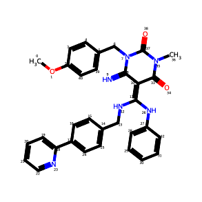 COc1ccc(CN2C(=N)/C(=C(\NCc3ccc(-c4ccccn4)cc3)Nc3ccccc3)C(=O)N(C)C2=O)cc1